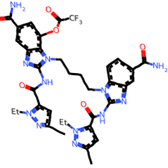 CCn1nc(C)cc1C(=O)Nc1nc2cc(C(N)=O)ccc2n1CCCCn1c(NC(=O)c2cc(C)nn2CC)nc2cc(C(N)=O)cc(OC(=O)C(F)(F)F)c21